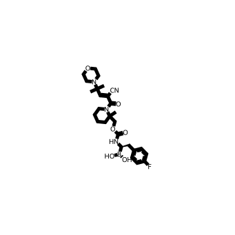 CC(C)(C=C(C#N)C(=O)N1CCCCC1(C)COC(=O)N[C@@H](Cc1ccc(F)cc1)B(O)O)N1CCOCC1